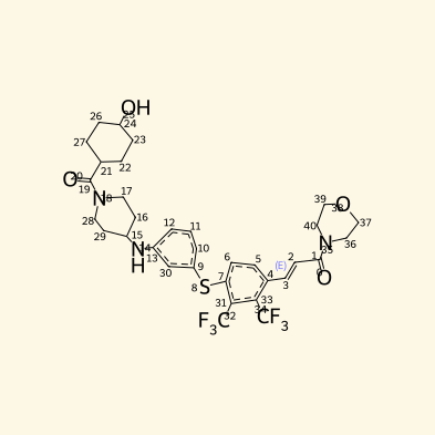 O=C(/C=C/c1ccc(Sc2cccc(NC3CCN(C(=O)C4CCC(O)CC4)CC3)c2)c(C(F)(F)F)c1C(F)(F)F)N1CCOCC1